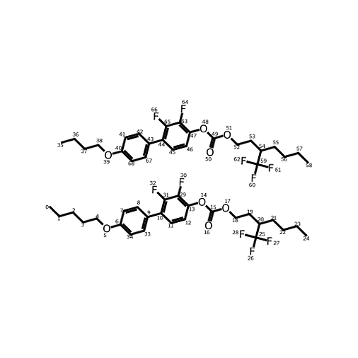 CCCCCOc1ccc(-c2ccc(OC(=O)OCCC(CCCC)C(F)(F)F)c(F)c2F)cc1.CCCCOc1ccc(-c2ccc(OC(=O)OCCC(CCCC)C(F)(F)F)c(F)c2F)cc1